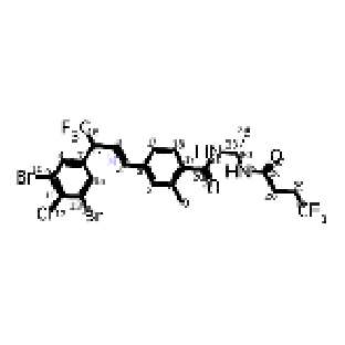 Cc1cc(/C=C/C(c2cc(Br)c(Cl)c(Br)c2)C(F)(F)F)ccc1C(=O)N[C@H](C)NC(=O)CCC(F)(F)F